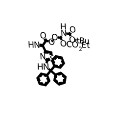 CCOC(=O)OC(NC(=O)OC(C)(C)C)OOC(=O)C(=N)c1csc(NC(c2ccccc2)(c2ccccc2)c2ccccc2)n1